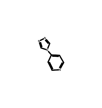 [c]1cc(-n2cnnc2)ccn1